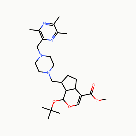 COC(=O)C1=COC(OC(C)(C)C)C2C(CN3CCN(Cc4nc(C)c(C)nc4C)CC3)CCC12